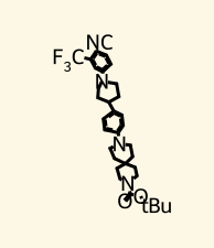 CC(C)(C)OC(=O)N1CCC2(CC1)CCN(c1ccc(C3CCN(c4ccc(C#N)c(C(F)(F)F)c4)CC3)cc1)CC2